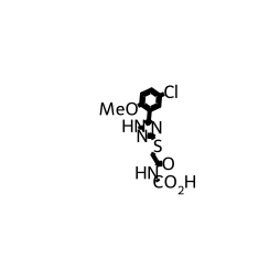 COc1ccc(Cl)cc1-c1nc(SCC(=O)NC(=O)O)n[nH]1